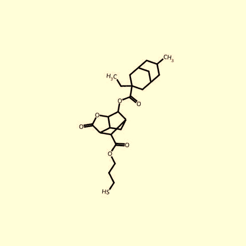 CCC1(C(=O)OC2C3CC4C2OC(=O)C4C3C(=O)OCCCS)CC2CC(C)CC(C2)C1